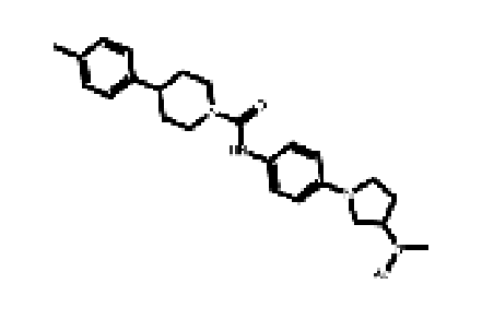 CC(=O)N(C)C1CCN(c2ccc(NC(=O)N3CCC(c4ccc(C)cc4)CC3)cc2)C1